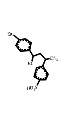 CCC(C)c1ccc(C(CC)CC(C)c2ccc(S(=O)(=O)O)cc2)cc1